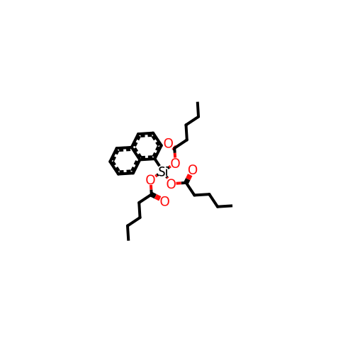 CCCCC(=O)O[Si](OC(=O)CCCC)(OC(=O)CCCC)c1cccc2ccccc12